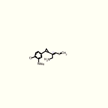 C=N/C=C(\CN)C1CC1c1ccc(Cl)c(NC)c1